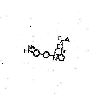 O=C(C1CC1)N1CCC(Cn2c(-c3ccc(-c4ccc5[nH]ncc5c4)cc3)nc3cccc(Br)c32)C1